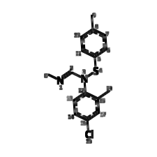 CN=CN(Sc1ccc(C)cc1)c1ccc(Cl)cc1C